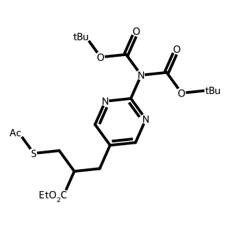 CCOC(=O)C(CSC(C)=O)Cc1cnc(N(C(=O)OC(C)(C)C)C(=O)OC(C)(C)C)nc1